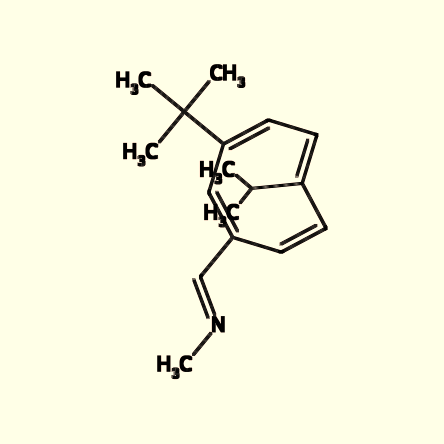 C/N=C/C1=CC(\C(C)(C)C)=C/C=C(C(C)C)/C=C\1